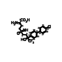 N=S(=O)(CC[C@H](N)C(=O)O)CCC(O)(c1ccc(-c2ccc(Cl)cc2)cc1)C(F)(F)F